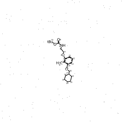 Cc1c(OCCNC(=O)OC(C)(C)C)cccc1OCC1CCCCC1